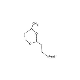 CCCCCCCC1OCCC(C)O1